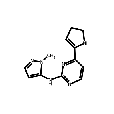 Cn1nccc1Nc1nccc(C2=CCCN2)n1